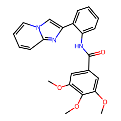 COc1cc(C(=O)Nc2ccccc2-c2cn3ccccc3n2)cc(OC)c1OC